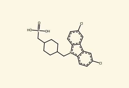 O=P(O)(O)CC1CCC(Cn2c3ccc(Cl)cc3c3cc(Cl)ccc32)CC1